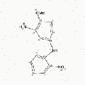 COc1ccc(Nc2ccccc2[N+](=O)[O-])cc1N